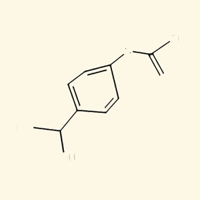 CCC(=O)Nc1ccc(C(O)C(F)(F)F)cc1